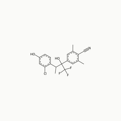 Cc1cc(C(O)(C(C)c2ccc(O)cc2Cl)C(F)(F)F)cc(C)c1C#N